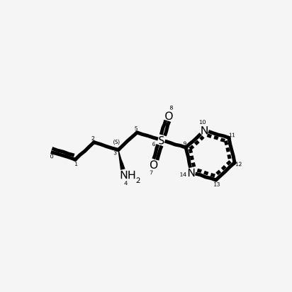 C=CC[C@H](N)CS(=O)(=O)c1ncccn1